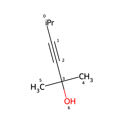 CC(C)C#CC(C)(C)O